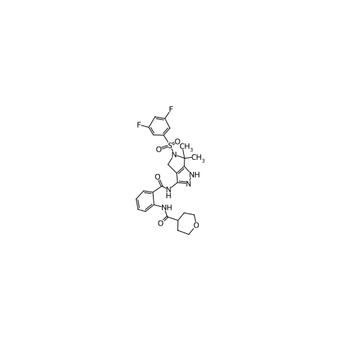 CC1(C)c2[nH]nc(NC(=O)c3ccccc3NC(=O)C3CCOCC3)c2CN1S(=O)(=O)c1cc(F)cc(F)c1